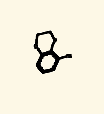 N#Cc1cccc2c1OC[CH]O2